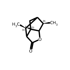 C[C@@H]1C2C[C@@H]3C1OC(=O)C3[C@H]2C